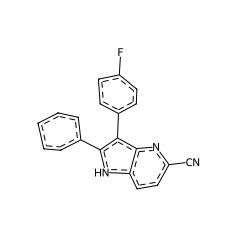 N#Cc1ccc2[nH]c(-c3ccccc3)c(-c3ccc(F)cc3)c2n1